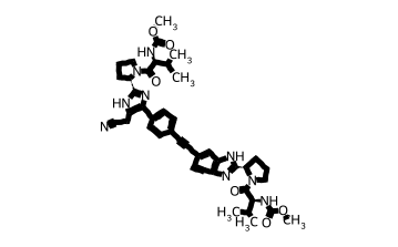 COC(=O)N[C@H](C(=O)N1CCC[C@H]1c1nc(-c2ccc(C#Cc3ccc4nc([C@@H]5CCCN5C(=O)[C@@H](NC(=O)OC)C(C)C)[nH]c4c3)cc2)c(CC#N)[nH]1)C(C)C